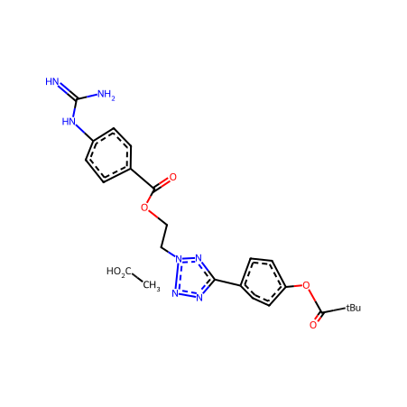 CC(=O)O.CC(C)(C)C(=O)Oc1ccc(-c2nnn(CCOC(=O)c3ccc(NC(=N)N)cc3)n2)cc1